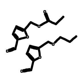 CCC(=O)OCc1ccc(C=O)o1.CCCOCc1ccc(C=O)o1